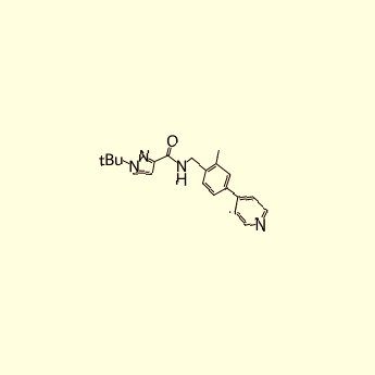 Cc1cc(-c2[c]cncc2)ccc1CNC(=O)c1ccn(C(C)(C)C)n1